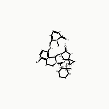 Cn1c(COc2ccc(Cl)c3c2C(CN2CC4(CC4)CC2=O)N(C(=O)[C@@H]2CCCC[C@]2(C)C(=O)O)CC3)cccc1=O